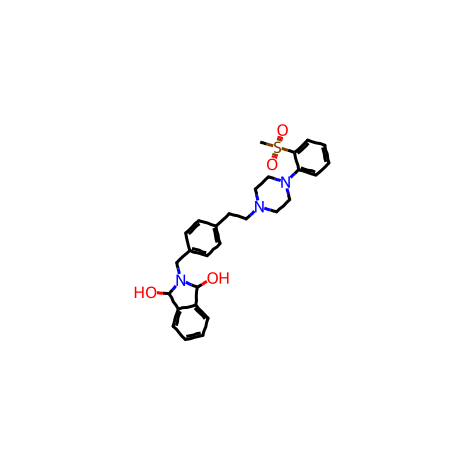 CS(=O)(=O)c1ccccc1N1CCN(CCc2ccc(CN3C(O)c4ccccc4C3O)cc2)CC1